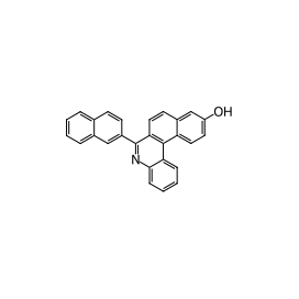 Oc1ccc2c(ccc3c(-c4ccc5ccccc5c4)nc4ccccc4c32)c1